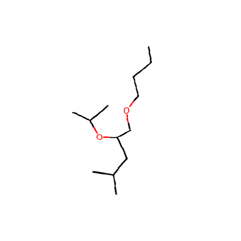 CCCCOCC(CC(C)C)OC(C)C